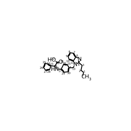 CCCCc1nc2ccccc2n1Cc1ccc(NC(C(=O)O)c2ccccc2)cc1